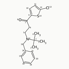 CC(C)(C)N(CCC(=O)c1ccc(Cl)s1)Cc1ccccc1